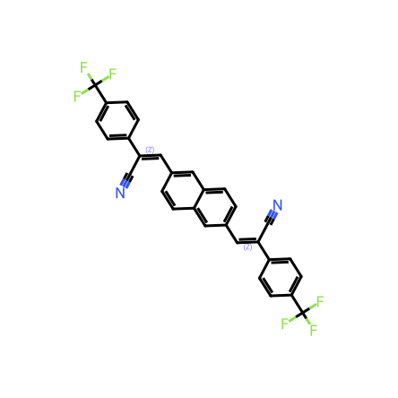 N#C/C(=C\c1ccc2cc(/C=C(\C#N)c3ccc(C(F)(F)F)cc3)ccc2c1)c1ccc(C(F)(F)F)cc1